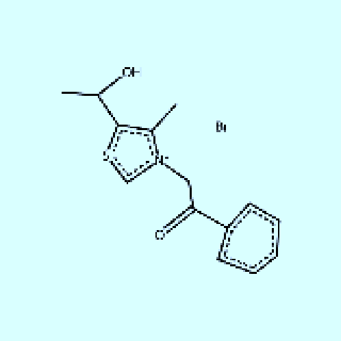 Cc1c(C(C)O)sc[n+]1CC(=O)c1ccccc1.[Br-]